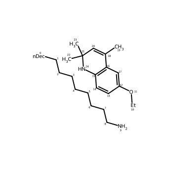 CCCCCCCCCCCCCCCCCCN.CCOc1ccc2c(c1)C(C)=CC(C)(C)N2